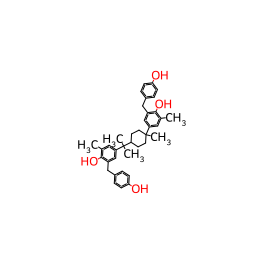 Cc1cc(C2(C)CCC(C(C)(C)c3cc(C)c(O)c(Cc4ccc(O)cc4)c3)CC2)cc(Cc2ccc(O)cc2)c1O